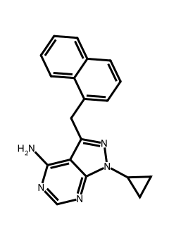 Nc1ncnc2c1c(Cc1cccc3ccccc13)nn2C1CC1